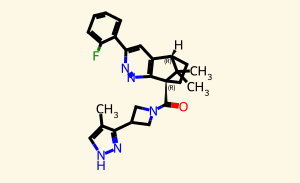 Cc1c[nH]nc1C1CN(C(=O)[C@@]23CC[C@@H](c4cc(-c5ccccc5F)nnc42)C3(C)C)C1